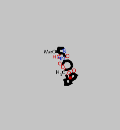 COc1ccnc(C(=O)N[C@H]2CCC[C@H](Oc3ccccc3)[C@@H](OCc3ccccc3)[C@H](C)OC2=O)c1O